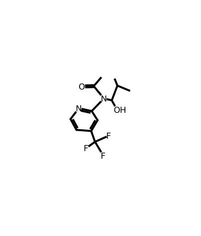 CC(=O)N(c1cc(C(F)(F)F)ccn1)C(O)C(C)C